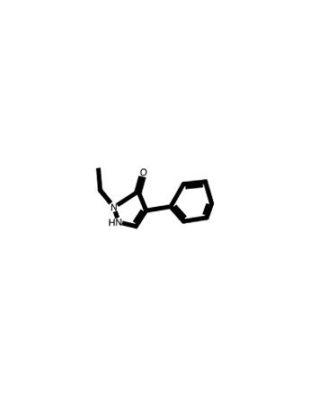 CCn1[nH]cc(-c2ccccc2)c1=O